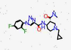 CN(C)C(=O)[C@@H]1CN(CC2CC2)CC[C@H]1NC(=O)c1cn(-c2ccc(F)cc2F)nn1